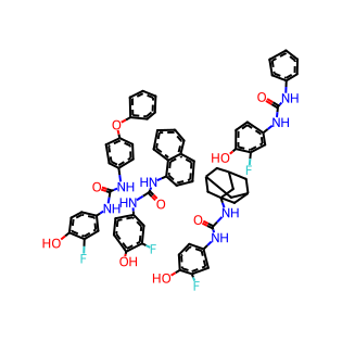 O=C(Nc1ccc(O)c(F)c1)NC12CC3CC(CC(C3)C1)C2.O=C(Nc1ccc(O)c(F)c1)Nc1cccc2ccccc12.O=C(Nc1ccc(Oc2ccccc2)cc1)Nc1ccc(O)c(F)c1.O=C(Nc1ccccc1)Nc1ccc(O)c(F)c1